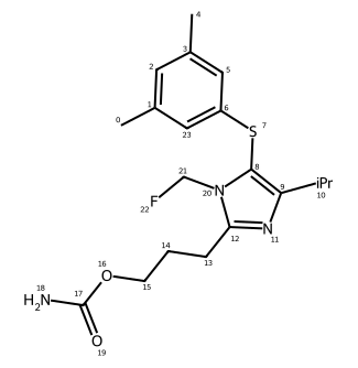 Cc1cc(C)cc(Sc2c(C(C)C)nc(CCCOC(N)=O)n2CF)c1